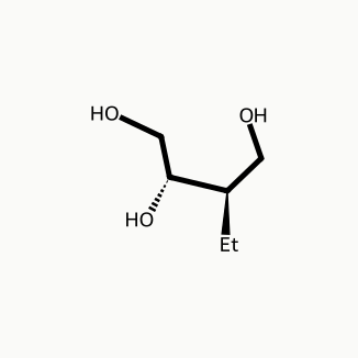 CC[C@H](CO)[C@H](O)CO